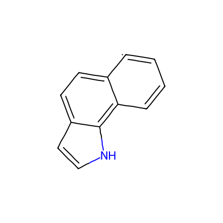 [c]1cccc2c1ccc1cc[nH]c12